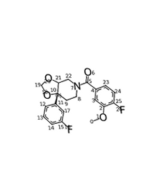 COc1cc(C(=O)N2CC[C@]3(c4cccc(F)c4)OCOC3C2)ccc1F